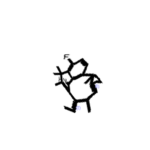 C/C=C1\C2=C(C)C(C)(C)c3c(F)ccc(c3C2=N)C2(C)C/C2=C\C1C